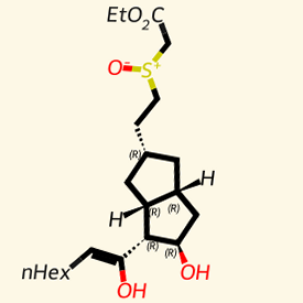 CCCCCCC=C(O)[C@@H]1[C@@H]2C[C@H](CC[S+]([O-])CC(=O)OCC)C[C@@H]2C[C@H]1O